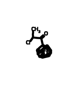 CC(Cl)C(=O)[C]12[CH]3[CH]4[CH]5[CH]1[Fe]45321678[CH]2[CH]1[CH]6[CH]7[CH]28